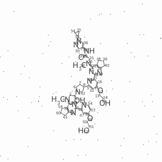 CN(CC(O)N1CCC(c2cc(OCCO)cc(-c3nc4c(c(N(C)CC(=O)Nc5cnn(C6CC6)c5)n3)CCC4)n2)C1)c1nc(-c2cc(OCCO)ccn2)nc2c1CCC2